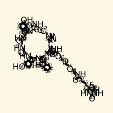 C[C@H]1NC(=O)[C@@H](C)NC(=O)[C@@H](Cc2ccc(O)cc2)NC(=O)[C@@H](Cc2c[nH]c3ccccc23)NC(=O)[C@@H](NC(=O)COCCOCCOCCNC(=O)CCCC[C@H]2SC[C@H]3NC(=O)N[C@H]32)Cc2cn(nn2)CCCC[C@@H](C(N)=O)NC(=O)[C@@H](Cc2ccc(O)cc2)NC1=O